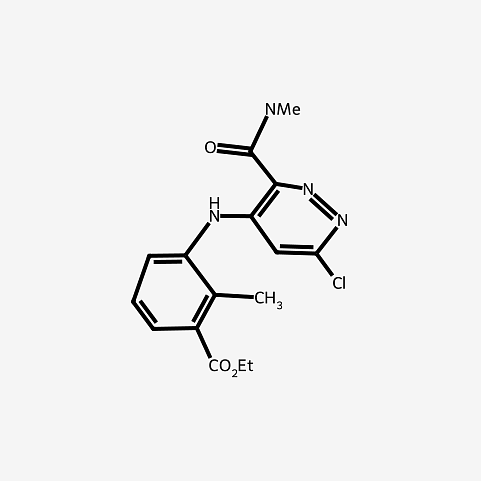 CCOC(=O)c1cccc(Nc2cc(Cl)nnc2C(=O)NC)c1C